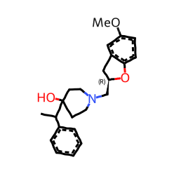 COc1ccc2c(c1)C[C@H](CN1CCC(O)(C(C)c3ccccc3)CC1)O2